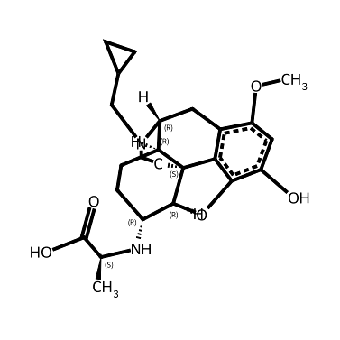 COc1cc(O)c2c3c1C[C@@H]1[C@@H]4CC[C@@H](N[C@@H](C)C(=O)O)[C@H](O2)[C@]34CCN1CC1CC1